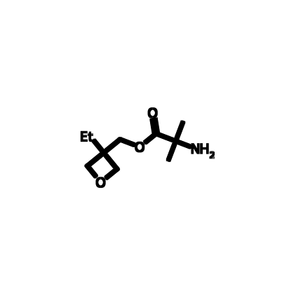 CCC1(COC(=O)C(C)(C)N)COC1